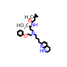 CC1(CC(=O)N[C@@H](CCN(CCCCc2ccc3c(n2)NCCC3)CCOc2ccccc2)C(=O)O)CC1